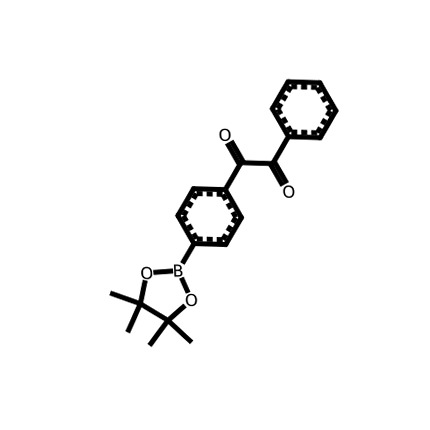 CC1(C)OB(c2ccc(C(=O)C(=O)c3ccccc3)cc2)OC1(C)C